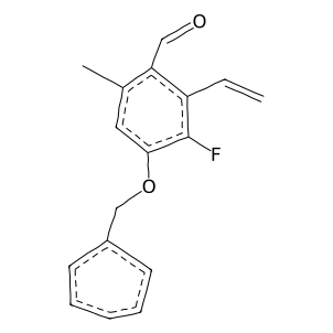 C=Cc1c(F)c(OCc2ccccc2)cc(C)c1C=O